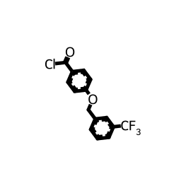 O=C(Cl)c1ccc(OCc2cccc(C(F)(F)F)c2)cc1